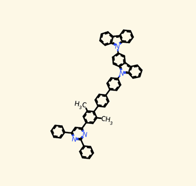 Cc1cc(-c2cc(-c3ccccc3)nc(-c3ccccc3)n2)cc(C)c1-c1ccc(-c2ccc(-n3c4ccccc4c4cc(-n5c6ccccc6c6ccccc65)ccc43)cc2)cc1